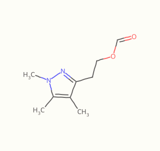 Cc1c(CCOC=O)nn(C)c1C